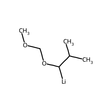 [Li][CH](OCOC)C(C)C